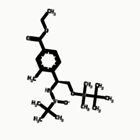 CCOC(=O)c1ccc([C@@H](CO[Si](C)(C)C(C)(C)C)N[S+]([O-])C(C)(C)C)c(C)c1